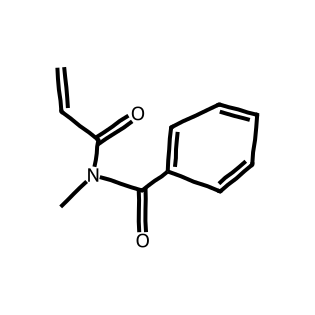 C=CC(=O)N(C)C(=O)c1ccccc1